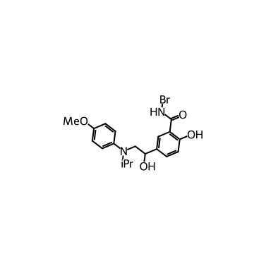 COc1ccc(N(CC(O)c2ccc(O)c(C(=O)NBr)c2)C(C)C)cc1